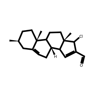 C[C@H]1CC[C@@]2(C)C(=CC[C@H]3C4C=C(C=O)C(Cl)[C@@]4(C)CCC32)C1